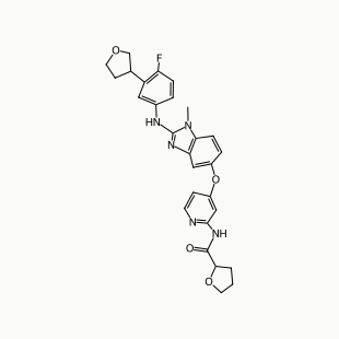 Cn1c(Nc2ccc(F)c(C3CCOC3)c2)nc2cc(Oc3ccnc(NC(=O)C4CCCO4)c3)ccc21